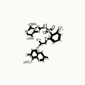 COc1cnc(OC)n2nc(NS(=O)(=O)c3c(OCC(F)F)cccc3C(F)(F)F)nc12.Cc1cnc2c(C(=O)O)c(Cl)ccc2c1